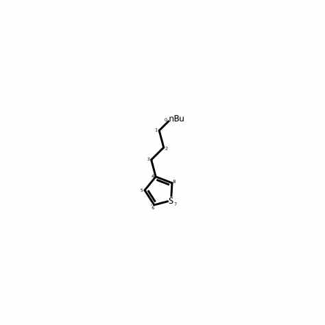 CCCCCCCc1c[c]sc1